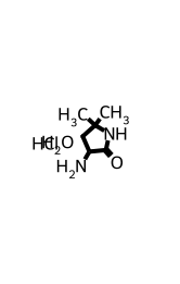 CC1(C)CC(N)C(=O)N1.Cl.O